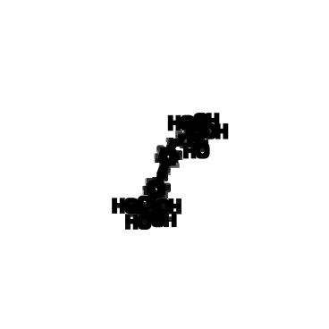 OC[C@H]1O[C@H](CC=Cc2ccc(C#Cc3ccc([C@H]4O[C@H](CO)[C@@H](O)[C@H](O)[C@@H]4O)cc3)cc2)[C@@H](O)[C@@H](O)[C@@H]1O